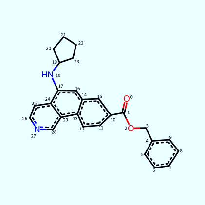 O=C(OCc1ccccc1)c1ccc2c(c1)cc(NC1CCCC1)c1ccncc12